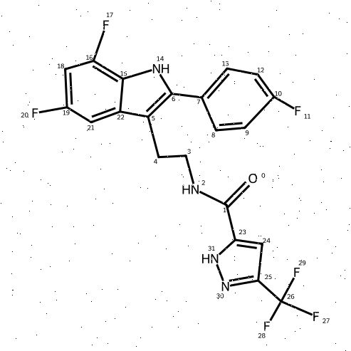 O=C(NCCc1c(-c2ccc(F)cc2)[nH]c2c(F)cc(F)cc12)c1cc(C(F)(F)F)n[nH]1